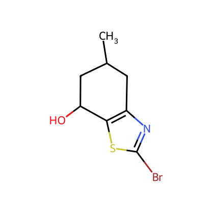 CC1Cc2nc(Br)sc2C(O)C1